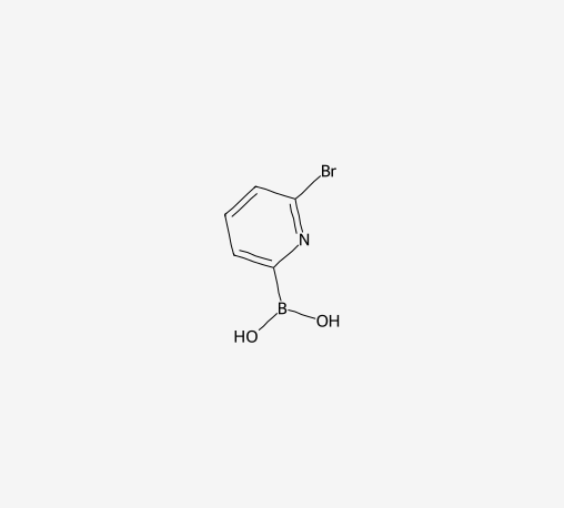 OB(O)c1cccc(Br)n1